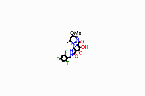 CO[C@@H]1C[C@@H](C)N2CN(C(=O)c3c(O)c(=O)c(C(=O)NCc4c(F)cc(F)cc4F)cn32)[C@H]1C